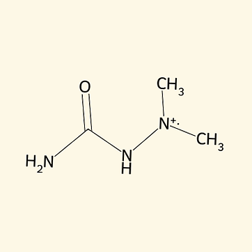 C[N+](C)NC(N)=O